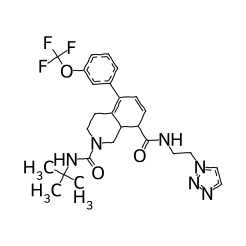 CC(C)(C)NC(=O)N1CCC2=C(c3cccc(OC(F)(F)F)c3)C=CC(C(=O)NCCn3ccnn3)C2C1